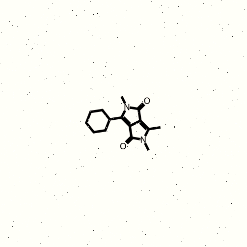 CC1=C2C(=O)N(C)C(C3CCCCC3)=C2C(=O)N1C